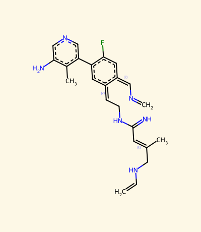 C=CNC/C(C)=C/C(=N)NC/C=c1/cc(-c2cncc(N)c2C)c(F)c/c1=C/N=C